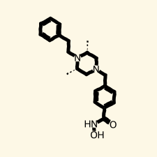 C[C@@H]1CN(Cc2ccc(C(=O)NO)cc2)C[C@H](C)N1CCc1ccccc1